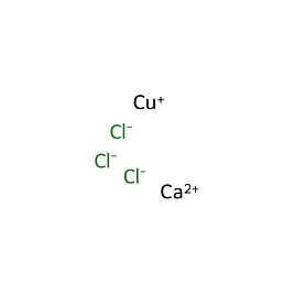 [Ca+2].[Cl-].[Cl-].[Cl-].[Cu+]